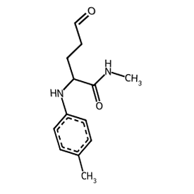 CNC(=O)C(CCC=O)Nc1ccc(C)cc1